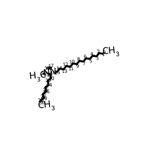 CCCCCCCCCCCCCCCC[n+]1ccn(C)c1CCCCCCCCC